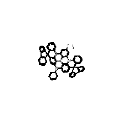 Cc1cc2c3c(c1)N1c4ccccc4C4(c5ccccc5-c5ccccc54)c4ccc5c(c41)B3c1c(ccc3c1N2c1ccccc1C31c2ccccc2-c2ccccc21)N5C1C=CC=CC1